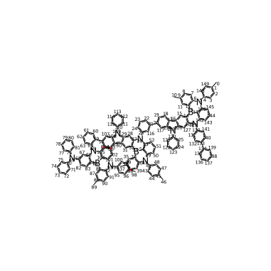 Cc1ccc(N2c3ccc(C)cc3B3c4cc5c6ccc(-c7cccc(N8c9cc%10c(cc9B9c%11cc(C)ccc%11N(c%11ccc(C)cc%11)c%11cccc8c%119)c8ccc(-c9ccccc9N9c%11cc(N(c%12ccccc%12)c%12ccccc%12)ccc%11B%11c%12cc(C)ccc%12N(c%12ccc(C)cc%12)c%12cccc9c%12%11)cc8n%10-c8ccccc8)c7)cc6n(-c6ccccc6)c5cc4N(c4ccc(-c5ccccc5)cc4)c4cccc2c43)cc1